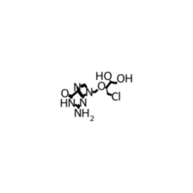 Nc1nc2c(ncn2CO[C@H](CCl)[C@H](O)CO)c(=O)[nH]1